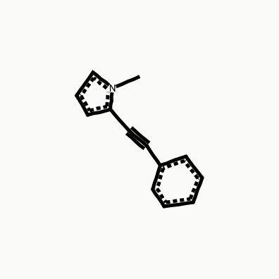 Cn1cccc1C#Cc1ccccc1